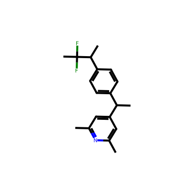 Cc1cc(C(C)c2ccc(C(C)C(C)(F)F)cc2)cc(C)n1